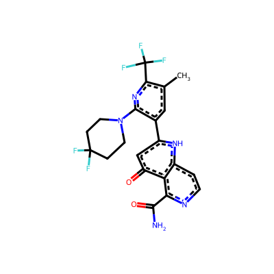 Cc1cc(-c2cc(=O)c3c(C(N)=O)nccc3[nH]2)c(N2CCC(F)(F)CC2)nc1C(F)(F)F